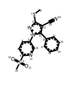 CSc1nn(-c2ccc(S(C)(=O)=O)nc2)c(-c2ccccc2)c1C#N